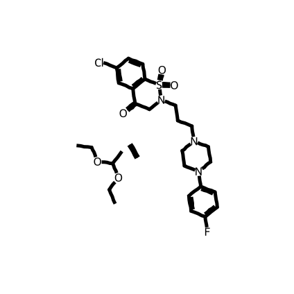 C=C.CCOC(C)OCC.O=C1CN(CCCN2CCN(c3ccc(F)cc3)CC2)S(=O)(=O)c2ccc(Cl)cc21